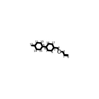 C=CCOCC1CCC(C2CCC(C)CC2)CC1